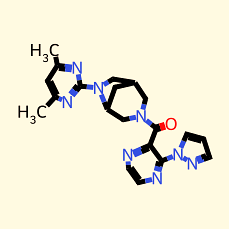 Cc1cc(C)nc(N2CC3CC2CN(C(=O)c2nccnc2-n2cccn2)C3)n1